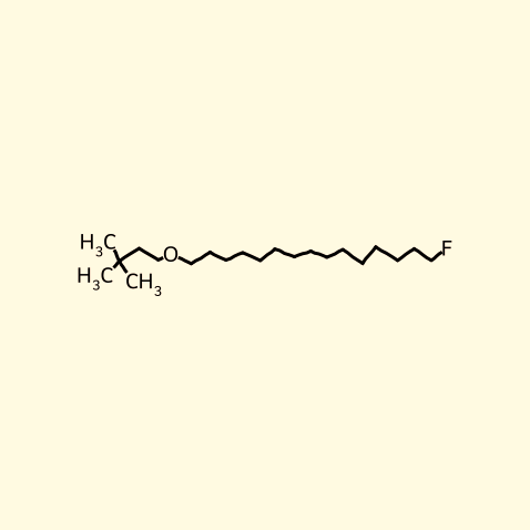 CC(C)(C)CCOCCCCCCCCCCCCCCCF